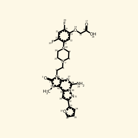 Cn1c(=O)n(CCN2CCN(c3cc(OCC(=O)O)c(F)cc3F)CC2)c2nc(N)n3nc(-c4ccco4)cc3c21